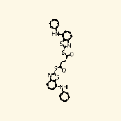 O=C(CCC(=O)Sc1nc2cccc(Nc3ccccc3)c2s1)Sc1nc2cccc(Nc3ccccc3)c2s1